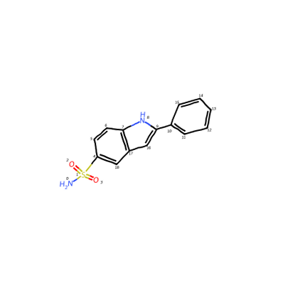 NS(=O)(=O)c1ccc2[nH]c(-c3ccccc3)cc2c1